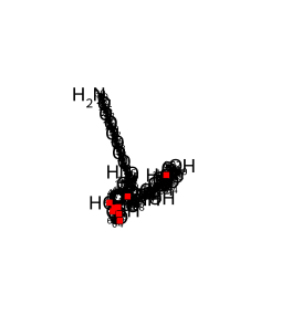 CCN(CC(=O)NCCOCCOCCOCCOCCOCCOCCOCCN)[C@H]1CO[C@@H](O[C@H]2[C@H](O[C@H]3C#CC=CC#C[C@]4(O)CC(=O)C(NC(=O)OC)=C3/C4=C\CSSC(C)C)O[C@H](C)[C@@H](NO[C@H]3C[C@H](O)[C@H](SC(=O)c4c(C)c(I)c(O[C@@H]5O[C@@H](C)[C@H](O)[C@@H](OC)[C@H]5O)c(OC)c4OC)[C@@H](C)O3)[C@@H]2O)C[C@@H]1OC